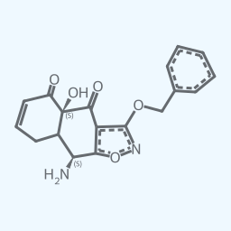 N[C@@H]1c2onc(OCc3ccccc3)c2C(=O)[C@@]2(O)C(=O)C=CCC12